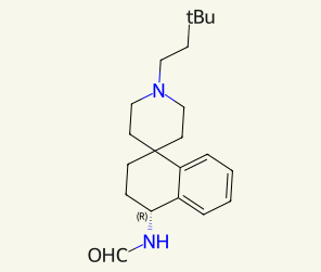 CC(C)(C)CCN1CCC2(CC[C@@H](NC=O)c3ccccc32)CC1